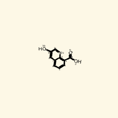 O=C(O)c1cccc2cc(O)cnc12